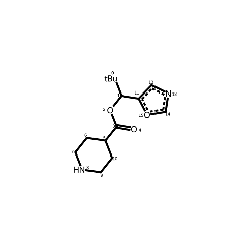 CC(C)(C)C(OC(=O)C1CCNCC1)c1cnco1